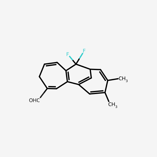 CC1=CC2=CC(C=C1C)C(F)(F)C1=C2C=C(C=O)CC=C1